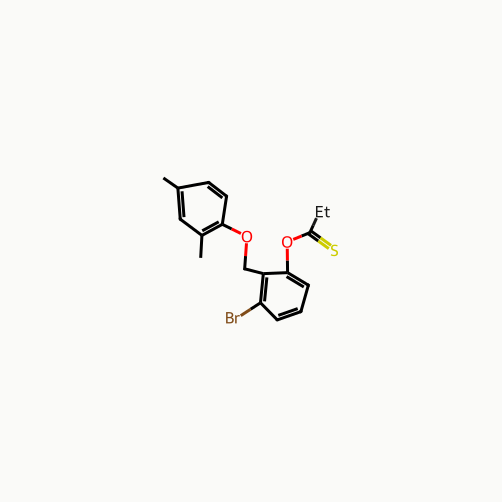 CCC(=S)Oc1cccc(Br)c1COc1ccc(C)cc1C